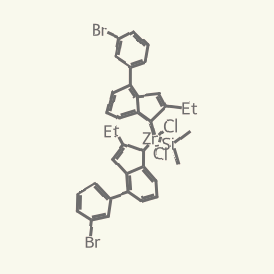 CCC1=Cc2c(-c3cccc(Br)c3)cccc2[CH]1[Zr]([Cl])([Cl])([CH]1C(CC)=Cc2c(-c3cccc(Br)c3)cccc21)=[Si](C)C